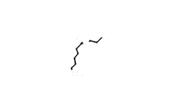 CC(C)(C)CCCCCC(=O)OCCCO